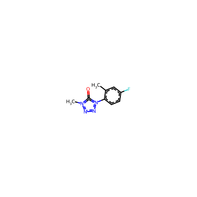 Cc1cc(F)ccc1-n1nnn(C)c1=O